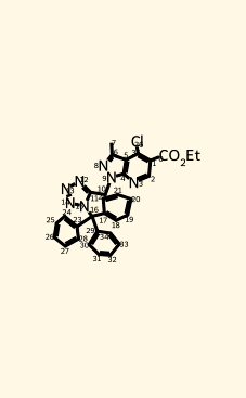 CCOC(=O)c1cnc2c(c(C)nn2Cc2nnnn2C(c2ccccc2)(c2ccccc2)c2ccccc2)c1Cl